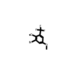 COc1cc(Br)c(OC)c(C(F)(F)F)c1